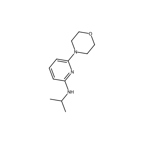 CC(C)Nc1cccc(N2CCOCC2)n1